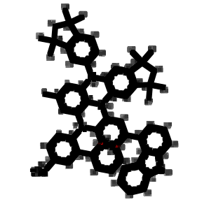 Cc1cc2c3c(c1)N(c1ccc(C(C)(C)C)cc1-c1ccccc1)c1ccc(-c4cccc5sc6ccccc6c45)cc1B3c1cc3c(cc1N2c1ccc2c(c1)C(C)(C)CC2(C)C)C(C)(C)CC3(C)C